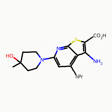 CCCc1cc(N2CCC(C)(O)CC2)nc2sc(C(=O)O)c(N)c12